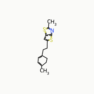 CC1=CC=C(CCc2cc3sc(C)nc3s2)CC1